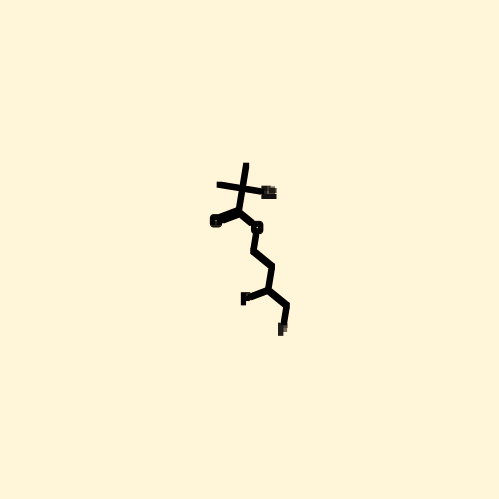 CCC(C)(C)C(=O)OCCC(F)CF